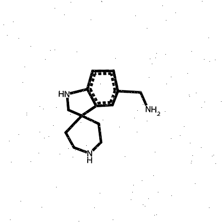 NCc1ccc2c(c1)C1(CCNCC1)CN2